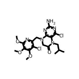 COc1nc(CN2CC(=O)N(CC(C)C)c3c(Cl)nc(N)nc32)c(Cl)c(OC)c1OC